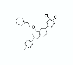 [CH2]C(Cc1ccc(-c2ccc(Cl)c(Cl)c2)cc1COCCN1CCCCC1)c1ccc(C)cc1